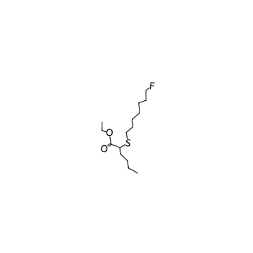 CCCCC(SCCCCCCCF)C(=O)OCC